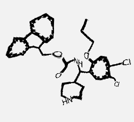 C=CCOc1cc(Cl)c(Cl)cc1C(NC(=O)OCC1c2ccccc2-c2ccccc21)C1CCNCC1